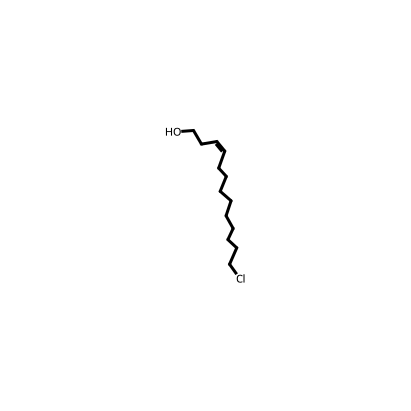 OCC/C=C\CCCCCCCCCCl